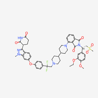 CCOc1cc([C@@H](CS(C)(=O)=O)N2C(=O)c3cccc(N4CCC(C5CCN(CC(F)(F)c6ccc(Oc7ccc8c(C9CCC(=O)NC9=O)nn(C)c8c7)cc6)CC5)CC4)c3C2=O)ccc1OC